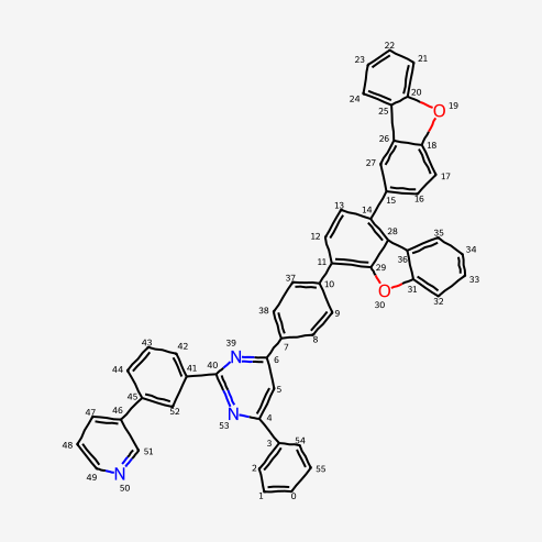 c1ccc(-c2cc(-c3ccc(-c4ccc(-c5ccc6oc7ccccc7c6c5)c5c4oc4ccccc45)cc3)nc(-c3cccc(-c4cccnc4)c3)n2)cc1